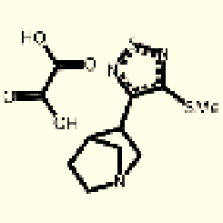 CSc1nsnc1C1CN2CCC1C2.O=C(O)C(=O)O